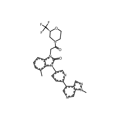 Cc1cccc2c1n(-c1ccc(-c3cncc4c3cnn4C)nc1)c(=O)n2CC(=O)N1CCO[C@H](C(F)(F)F)C1